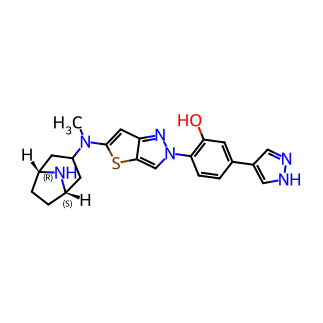 CN(c1cc2nn(-c3ccc(-c4cn[nH]c4)cc3O)cc2s1)C1C[C@H]2CC[C@@H](C1)N2